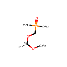 CC[C@H](OCP(=O)(OC)OC)OOC